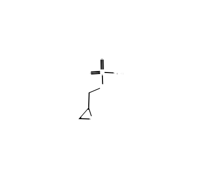 CCCCCS(=O)(=O)OCC1CO1